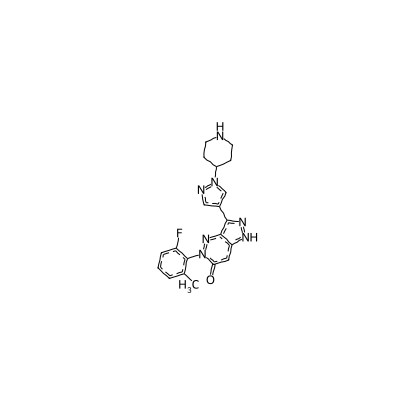 Cc1cccc(F)c1-n1nc2c(-c3cnn(C4CCNCC4)c3)n[nH]c2cc1=O